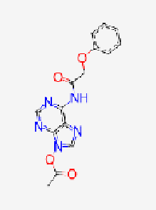 CC(=O)On1cnc2c(NC(=O)COc3ccccc3)ncnc21